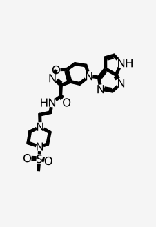 CS(=O)(=O)N1CCN(CCNC(=O)c2noc3c2CN(c2ncnc4[nH]ccc24)CC3)CC1